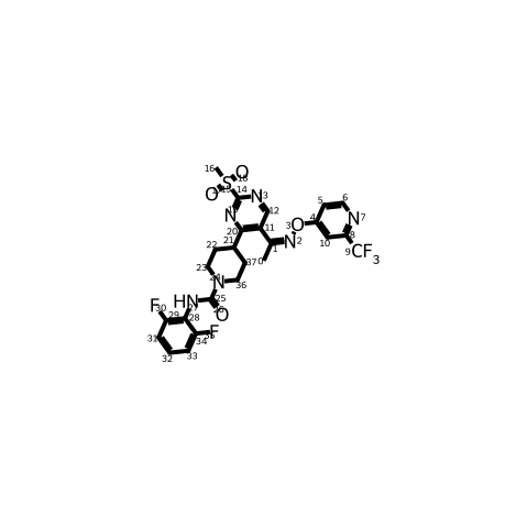 CC(=NOc1ccnc(C(F)(F)F)c1)c1cnc(S(C)(=O)=O)nc1C1CCN(C(=O)Nc2c(F)cccc2F)CC1